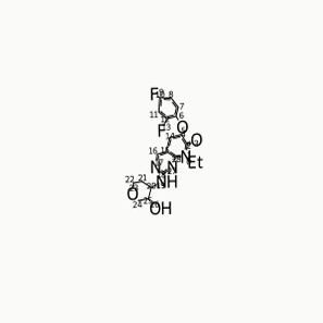 CCn1c(=O)c(Oc2ccc(F)cc2F)cc2cnc(NC3CCOCC3O)nc21